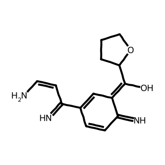 N=C(/C=C\N)C1=C/C(=C(/O)C2CCCO2)C(=N)C=C1